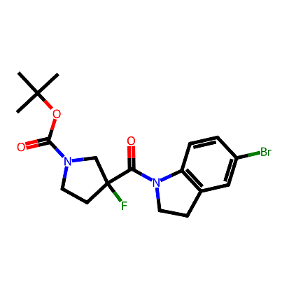 CC(C)(C)OC(=O)N1CCC(F)(C(=O)N2CCc3cc(Br)ccc32)C1